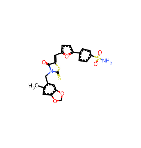 Cc1cc2c(cc1CN1C(=O)C(=Cc3ccc(-c4ccc(S(N)(=O)=O)cc4)o3)SC1=S)OCO2